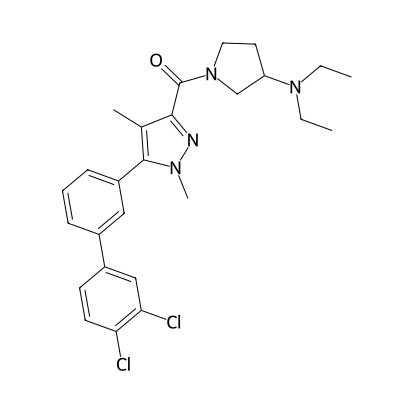 CCN(CC)C1CCN(C(=O)c2nn(C)c(-c3cccc(-c4ccc(Cl)c(Cl)c4)c3)c2C)C1